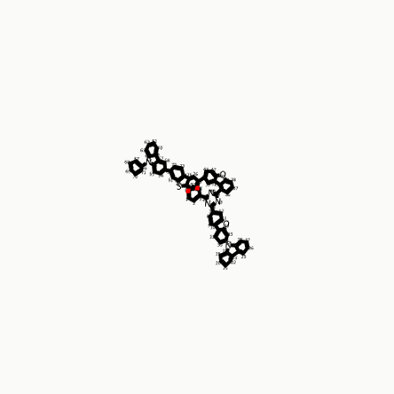 c1ccc(-c2nc(-c3ccc4c(c3)oc3cc(-n5c6ccccc6c6ccccc65)ccc34)nc(-c3cccc4oc5ccc(-c6ccc7sc8cc(-c9ccc%10c(c9)c9ccccc9n%10-c9ccccc9)ccc8c7c6)cc5c34)n2)cc1